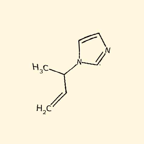 C=CC(C)n1[c]ncc1